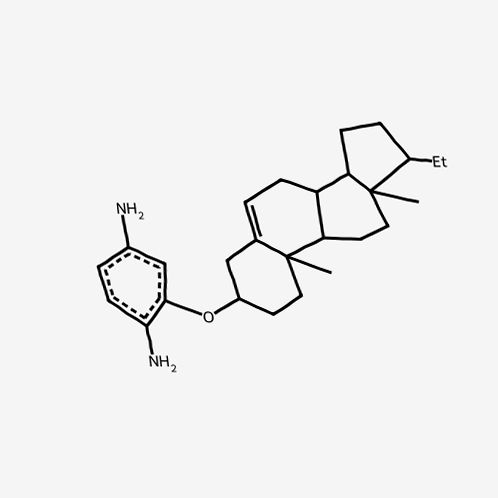 CCC1CCC2C3CC=C4CC(Oc5cc(N)ccc5N)CCC4(C)C3CCC12C